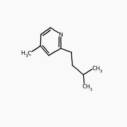 Cc1ccnc(CCC(C)C)c1